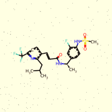 CC(C)Cc1nc(C(F)(F)F)ccc1/C=C/C(=O)N[C@H](C)c1ccc(NS(C)(=O)=O)c(F)c1